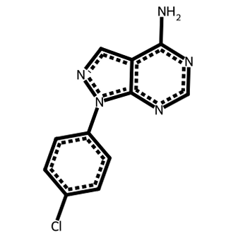 Nc1ncnc2c1cnn2-c1ccc(Cl)cc1